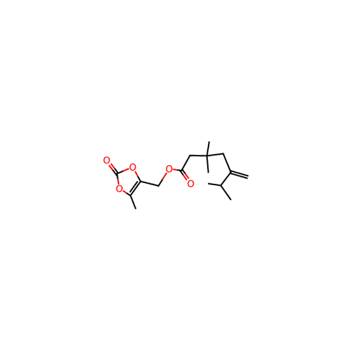 C=C(CC(C)(C)CC(=O)OCc1oc(=O)oc1C)C(C)C